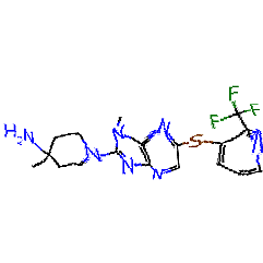 Cn1c(N2CCC(C)(N)CC2)nc2ncc(Sc3cccnc3C(F)(F)F)nc21